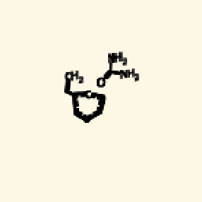 C=Cc1ccccc1.NC(N)=O